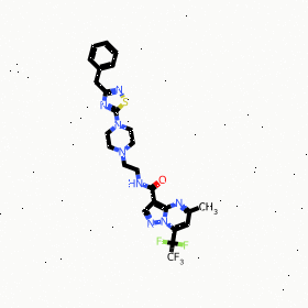 Cc1cc(C(F)(F)C(F)(F)F)n2ncc(C(=O)NCCN3CCN(c4nc(Cc5ccccc5)ns4)CC3)c2n1